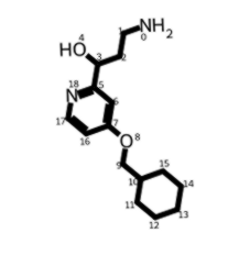 NCCC(O)c1cc(OCC2CCCCC2)ccn1